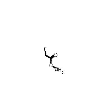 BOC(=O)CF